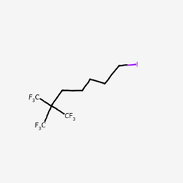 FC(F)(F)C(CCCCCI)(C(F)(F)F)C(F)(F)F